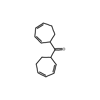 O=C(C1C=CC=CCC1)C1C=CC=CCC1